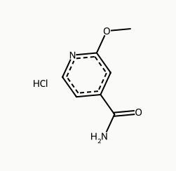 COc1cc(C(N)=O)ccn1.Cl